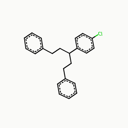 Clc1ccc(C(CCc2ccccc2)CCc2ccccc2)cc1